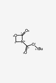 CC(C)(C)OC(=O)N1COC1=O